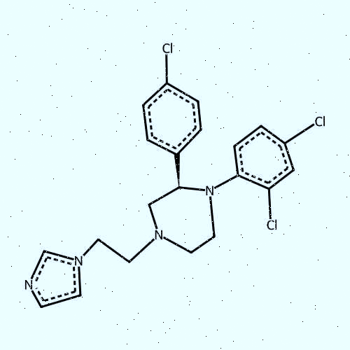 Clc1ccc([C@@H]2CN(CCn3ccnc3)CCN2c2ccc(Cl)cc2Cl)cc1